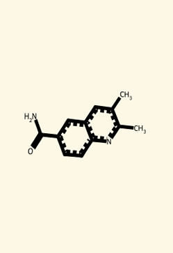 Cc1cc2cc(C(N)=O)ccc2nc1C